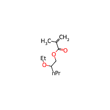 C=C(C)C(=O)OCC(CCC)OCC